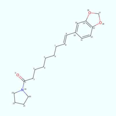 O=C(CCCCCC/C=C/c1ccc2c(c1)OCO2)N1CCCC1